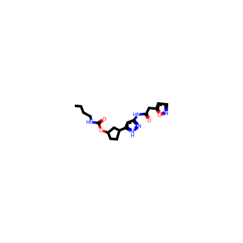 CCCCNC(=O)OC1CCC(c2cc(NC(=O)Cc3ccno3)n[nH]2)C1